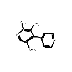 COc1cnc(C)c(N)c1-c1ccncc1